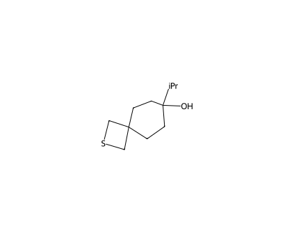 CC(C)C1(O)CCC2(CC1)CSC2